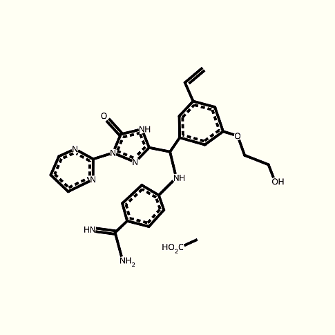 C=Cc1cc(OCCO)cc(C(Nc2ccc(C(=N)N)cc2)c2nn(-c3ncccn3)c(=O)[nH]2)c1.CC(=O)O